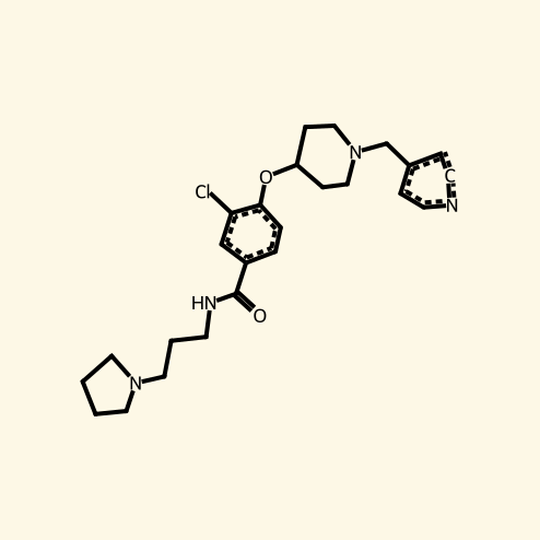 O=C(NCCCN1CCCC1)c1ccc(OC2CCN(Cc3ccncc3)CC2)c(Cl)c1